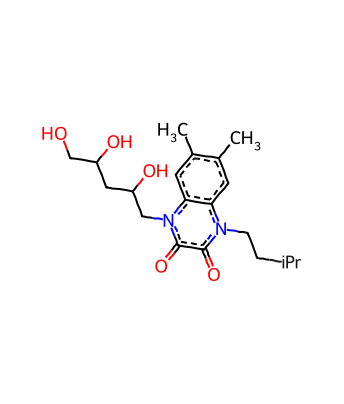 Cc1cc2c(cc1C)n(CC(O)CC(O)CO)c(=O)c(=O)n2CCC(C)C